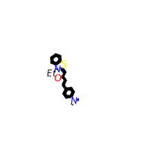 CCN1C(=CC(=O)C=Cc2ccc(N(C)C)cc2)Sc2ccccc21